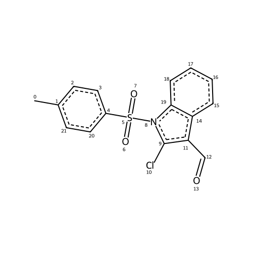 Cc1ccc(S(=O)(=O)n2c(Cl)c(C=O)c3ccccc32)cc1